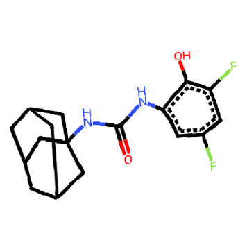 O=C(Nc1cc(F)cc(F)c1O)NC12CC3CC(CC(C3)C1)C2